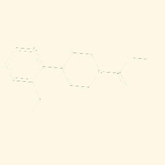 CCCCOC(=O)N1CCC(c2ncccc2CO)CC1